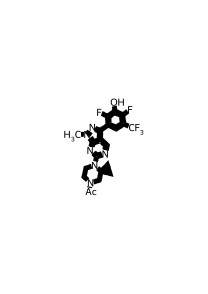 CC(=O)N1CCN(c2ncc3c(-c4cc(C(F)(F)F)c(F)c(O)c4F)nn(C)c3n2)C2(CC2)C1